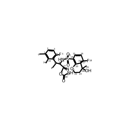 Cc1ccc(F)c(C(C)C(NS(=O)(=O)c2ccc(F)c3c2OCCC3(C)O)c2n[nH]c(=O)o2)c1C